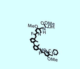 COC(=O)[C@@H](CO)NCc1cnc(/C(F)=C/c2cccc(-c3cccc(/C=C(\F)c4cc(OC)c(CN5CCCC[C@H]5C(=O)O)cn4)c3C)c2C)cc1OC